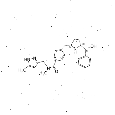 Cc1cc(CN(C)C(=O)c2ccc(C[C@@H]3CC[C@H]([C@H](O)c4ccccc4)N3)cc2)n[nH]1